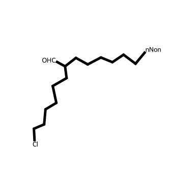 CCCCCCCCCCCCCCCC(C=O)CCCCCCCl